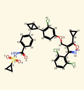 O=C(NS(=O)(=O)C1CC1)c1ccc([C@]23CC2[C@H]3c2ccc(OCc3c(-c4c(Cl)cccc4Cl)noc3C3CC3)cc2Cl)cc1